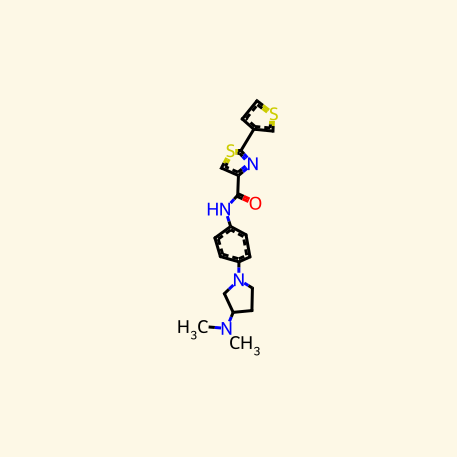 CN(C)C1CCN(c2ccc(NC(=O)c3csc(-c4ccsc4)n3)cc2)C1